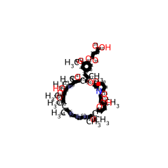 CO[C@H]1C[C@@H]2CC[C@@H](C)[C@@](O)(O2)C(=O)C(=O)N2CCCC[C@H]2C(=O)O[C@H](C(C)C[C@@H]2CC[C@@H](OC(=O)CCC(=O)O)[C@H](OC)C2)CC(=O)[C@H](C)/C=C(\C)[C@@H](O)[C@@H](OC)C(=O)[C@H](C)C[C@H](C)/C=C/C=C/C=C/1C